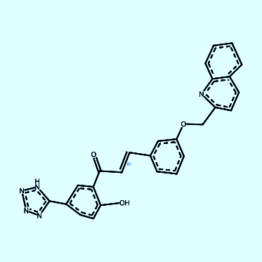 O=C(/C=C/c1cccc(OCc2ccc3ccccc3n2)c1)c1cc(-c2nnn[nH]2)ccc1O